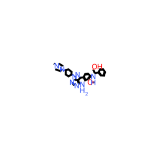 COc1cc(-c2nn(C3CCC(N4CCN(C)CC4)CC3)c3ncnc(N)c23)ccc1NC(CO)c1ccccc1